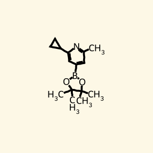 Cc1cc(B2OC(C)(C)C(C)(C)O2)cc(C2CC2)n1